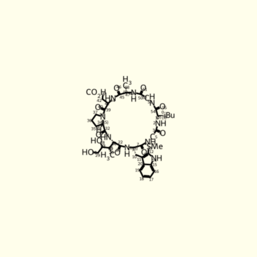 CC[C@H](C)[C@@H]1NC(=O)CNC(=O)[C@H](Cc2c(SC)[nH]c3ccccc23)NC(=O)[C@H]([C@@H](C)[C@H](O)CO)NC(=O)[C@@H]2CCCN2C(=O)C(CC(=O)O)NC(=O)[C@H](C)NC(=O)CNC1=O